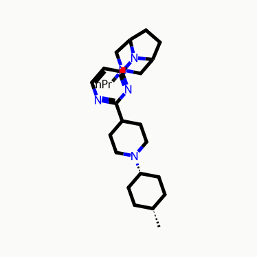 CCCN1CC2CCC(C1)N2c1ccnc(C2CCN([C@H]3CC[C@@H](C)CC3)CC2)n1